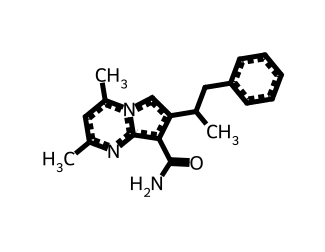 Cc1cc(C)n2cc(C(C)Cc3ccccc3)c(C(N)=O)c2n1